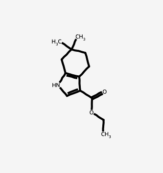 CCOC(=O)c1c[nH]c2c1CCC(C)(C)C2